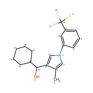 Cc1cn(-c2cccc(C(F)(F)F)c2)cc1C(O)C1CCCCC1